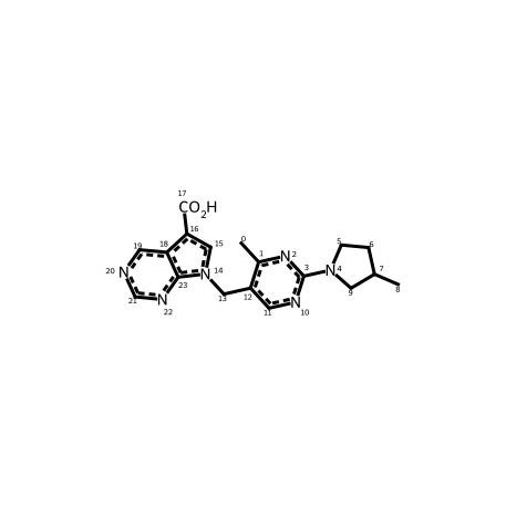 Cc1nc(N2CCC(C)C2)ncc1Cn1cc(C(=O)O)c2cncnc21